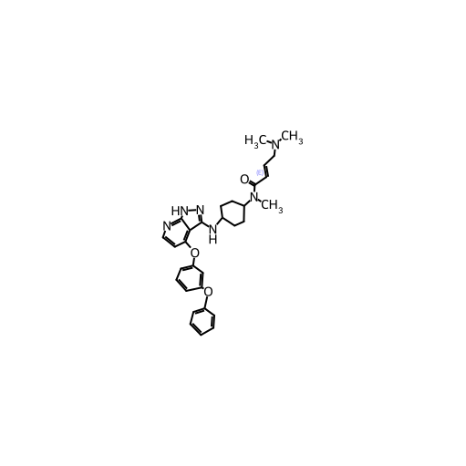 CN(C)C/C=C/C(=O)N(C)C1CCC(Nc2n[nH]c3nccc(Oc4cccc(Oc5ccccc5)c4)c23)CC1